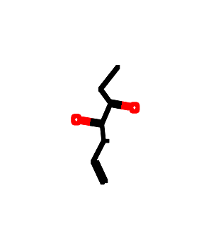 C=C[CH]C(=O)C(=O)CC